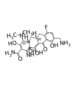 CN(C)[C@@H]1C(O)=C(C(N)=O)C(=N)[C@@]2(O)C(O)=C3C(=O)c4c(O)c(CN)cc(F)c4C[C@H]3C[C@@H]12